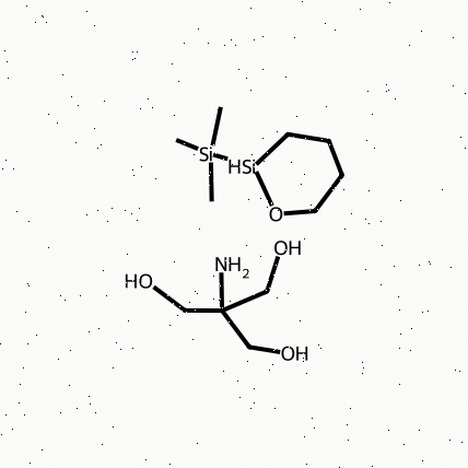 C[Si](C)(C)[SiH]1CCCCO1.NC(CO)(CO)CO